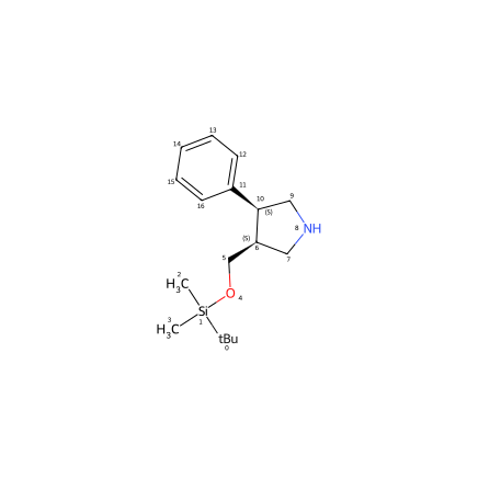 CC(C)(C)[Si](C)(C)OC[C@@H]1CNC[C@@H]1c1ccccc1